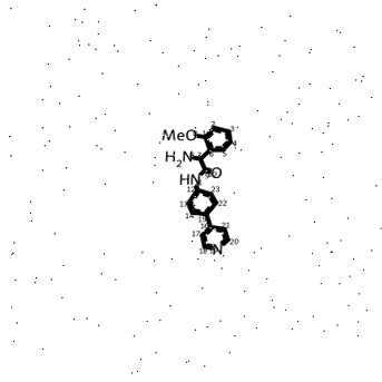 COc1ccccc1C(N)C(=O)Nc1ccc(-c2ccncc2)cc1